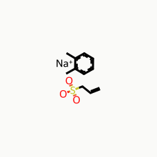 C=CCS(=O)(=O)[O-].Cc1ccccc1C.[Na+]